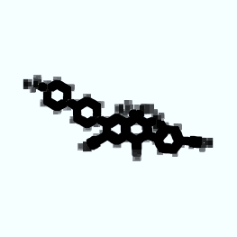 C#Cc1ccc2c3c([nH]c2c1)C(C)(C)c1cc(N2CCC(N4CCN(C)CC4)CC2)c(C#N)cc1C3=O